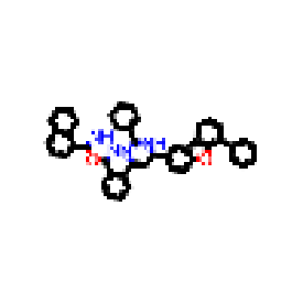 N=C(OC(=N)c1cccc2ccccc12)c1ccccc1C1=CC(c2ccc3oc4c(-c5ccccc5)cccc4c3c2)NC(C2=CC=CCC2)=N1